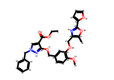 CCOC(=O)c1cn(Cc2ccccc2)nc1OCc1ccc(OC)c(OCc2nc(-c3ccco3)oc2C)c1